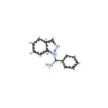 NC(c1ccccc1)n1n[c]c2ccccc21